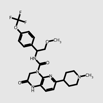 COCC(NC(=O)N1CC(=O)Nc2ccc(C3CCN(C)CC3)nc21)c1ccc(OC(F)(F)F)cc1